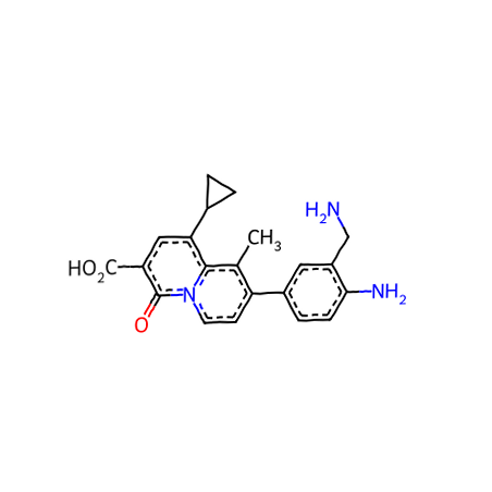 Cc1c(-c2ccc(N)c(CN)c2)ccn2c(=O)c(C(=O)O)cc(C3CC3)c12